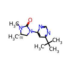 C[C@H]1CN(c2cc(C(C)(C)C)ncn2)C(=O)N1C